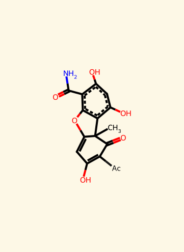 CC(=O)C1=C(O)C=C2Oc3c(C(N)=O)c(O)cc(O)c3C2(C)C1=O